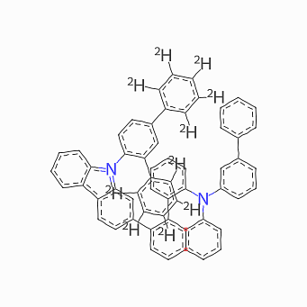 [2H]c1c([2H])c([2H])c(-c2ccc(-n3c4ccccc4c4ccc(-c5ccccc5-c5ccccc5N(c5ccccc5)c5cccc(-c6ccccc6)c5)cc43)c(-c3c([2H])c([2H])c([2H])c([2H])c3[2H])c2)c([2H])c1[2H]